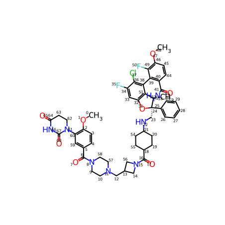 COc1ccc(C(=O)N2CCN(CC3CN(C(=O)C4CCC(NC[C@]5(c6ccccc6)Oc6cc(F)c(Cl)c(-c7c(C(N)=O)ccc(OC)c7F)c6[C@@H]5C)CC4)C3)CC2)cc1N1CCC(=O)NC1=O